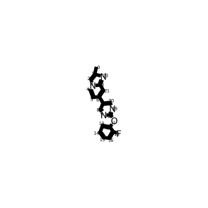 Cc1cn2ccc(-c3cnc(Oc4ccccc4F)nc3)cc2n1